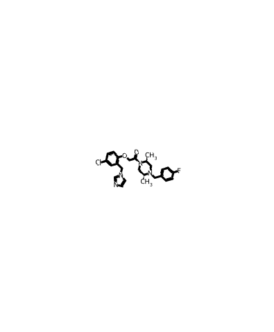 C[C@@H]1CN(C(=O)COc2ccc(Cl)cc2Cn2ccnc2)[C@@H](C)CN1Cc1ccc(F)cc1